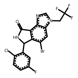 O=C1NC(c2cc(F)ccc2Cl)c2c(Br)cc3c(ncn3CC(F)(F)F)c21